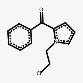 O=C(c1ccccc1)c1cccn1CCCl